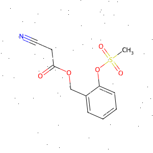 CS(=O)(=O)Oc1ccccc1COC(=O)CC#N